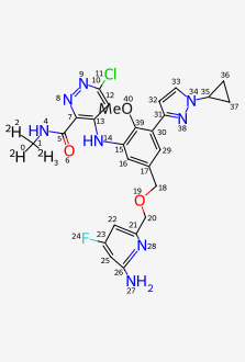 [2H]C([2H])([2H])NC(=O)c1nnc(Cl)cc1Nc1cc(COCc2cc(F)cc(N)n2)cc(-c2ccn(C3CC3)n2)c1OC